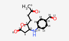 CC(=O)CCC1OC(=O)CC1Nc1ccc(C=O)cc1